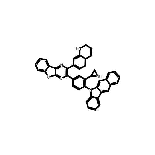 C1=CC2CC=C(c3nc4c(nc3-c3ccc(-n5c6ccccc6c6cc7ccccc7cc65)c(C5CN5)c3)oc3ccccc34)C=C2NC1